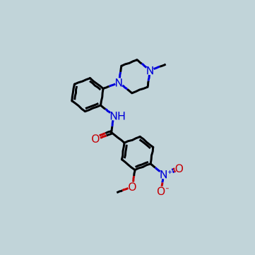 COc1cc(C(=O)Nc2ccccc2N2CCN(C)CC2)ccc1[N+](=O)[O-]